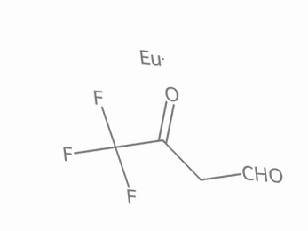 O=CCC(=O)C(F)(F)F.[Eu]